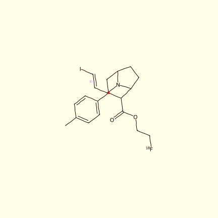 Cc1ccc(C2CC3CCC(C2C(=O)OCC[18F])N3C/C=C/I)cc1